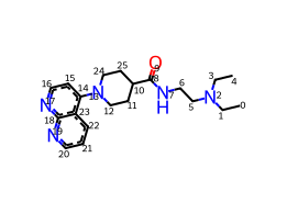 CCN(CC)CCNC(=O)C1CCN(c2ccnc3ncccc23)CC1